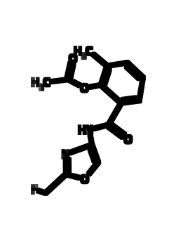 CC(=O)Oc1c(C)cccc1C(=O)Nc1coc(CF)n1